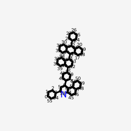 c1ccc(-c2cc(-c3ccc(-c4ccc(-c5c6ccccc6c(-c6ccccc6)c6ccccc56)c5ccccc45)cc3)c3c(ccc4ccccc43)n2)cc1